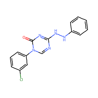 O=c1nc(NNc2ccccc2)ncn1-c1cccc(Cl)c1